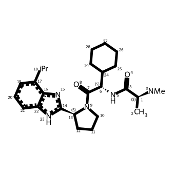 CN[C@@H](C)C(=O)N[C@H](C(=O)N1CCC[C@H]1c1nc2c(C(C)C)cccc2[nH]1)C1CCCCC1